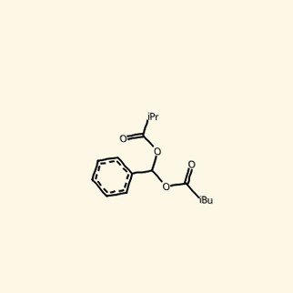 CCC(C)C(=O)OC(OC(=O)C(C)C)c1ccccc1